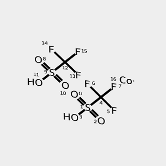 O=S(=O)(O)C(F)(F)F.O=S(=O)(O)C(F)(F)F.[Co]